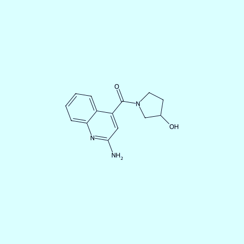 Nc1cc(C(=O)N2CCC(O)C2)c2ccccc2n1